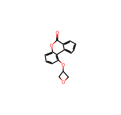 O=c1oc2cccc(OC3COC3)c2c2ccccc12